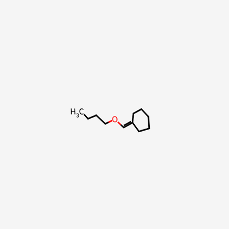 CCCCOC=C1CCCCC1